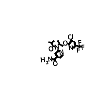 CC(C)C(=O)N(c1cc(C(N)=O)ccn1)C(C)COc1ncc(C(F)(F)F)cc1Cl